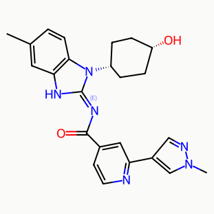 Cc1ccc2c(c1)[nH]/c(=N\C(=O)c1ccnc(-c3cnn(C)c3)c1)n2[C@H]1CC[C@@H](O)CC1